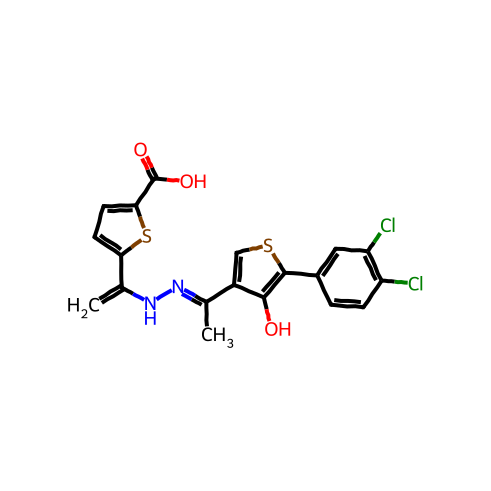 C=C(N/N=C(\C)c1csc(-c2ccc(Cl)c(Cl)c2)c1O)c1ccc(C(=O)O)s1